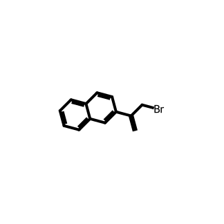 C=C(CBr)c1ccc2ccccc2c1